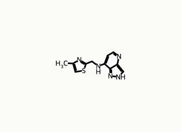 Cc1csc(CNc2ccnc3c[nH]nc23)n1